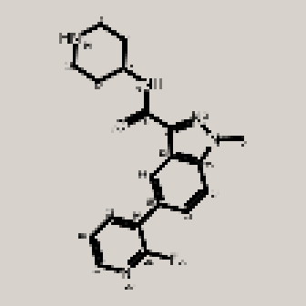 Cn1nc(C(=O)NC2CCNCC2)c2cc(-c3cccnc3F)ccc21